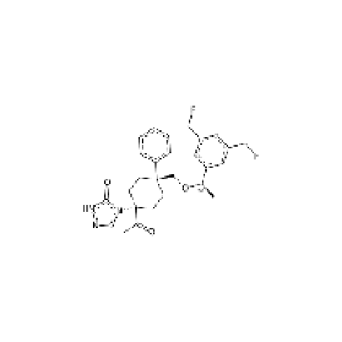 CC(=O)[C@]1(n2cn[nH]c2=O)CC[C@@](CO[C@H](C)c2cc(CF)cc(CF)c2)(c2ccccc2)CC1